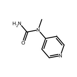 CN(C(N)=O)c1[c]cncc1